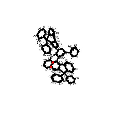 c1ccc(-c2ccc(N(c3ccccc3)c3ccc4c(c3)C3(c5ccccc5O4)c4ccccc4-c4ccccc43)c(-c3cccc4c3-c3ccccc3C4(c3ccccc3)c3ccccc3)c2)cc1